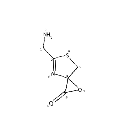 NCC1=NC2(CS1)OC2=O